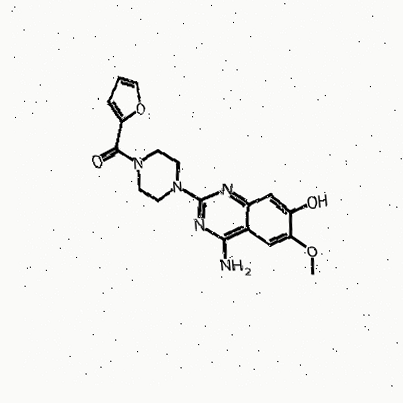 COc1cc2c(N)nc(N3CCN(C(=O)c4ccco4)CC3)nc2cc1O